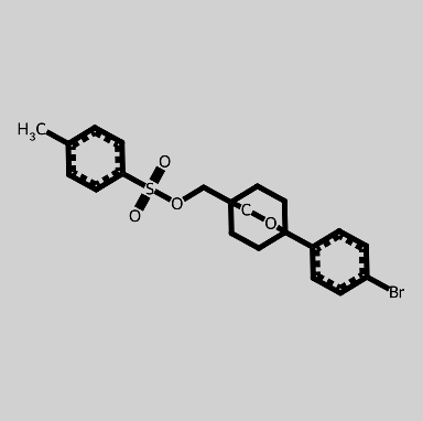 Cc1ccc(S(=O)(=O)OCC23CCC(c4ccc(Br)cc4)(CC2)OC3)cc1